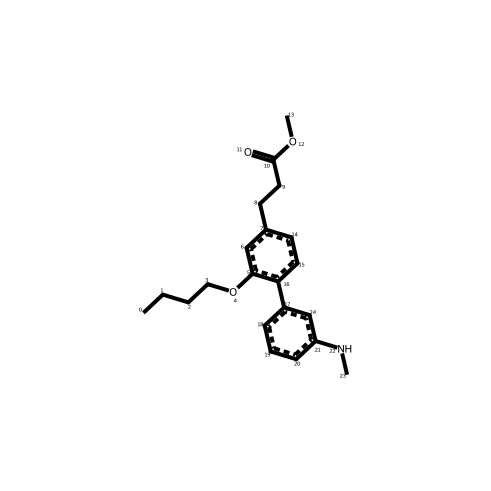 CCCCOc1cc(CCC(=O)OC)ccc1-c1cccc(NC)c1